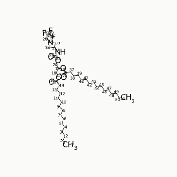 CCCCCCCCCCCCCCCC(=O)OCC(COC(=O)NC1CN(CC(F)(F)F)C1)OC(=O)CCCCCCCCCCCCCCC